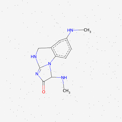 CNc1ccc2c(c1)CNC1=NC(=O)C(NC)N12